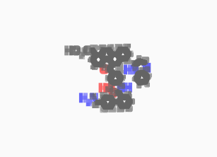 C1=CNc2ccccc2N=C1.NCc1ccc(-c2ccccc2C(=O)Nc2ccc(C(=O)C3Cc4ccccc4-c4ccc5c(c43)CCCC5CC(=O)O)cc2O)cc1